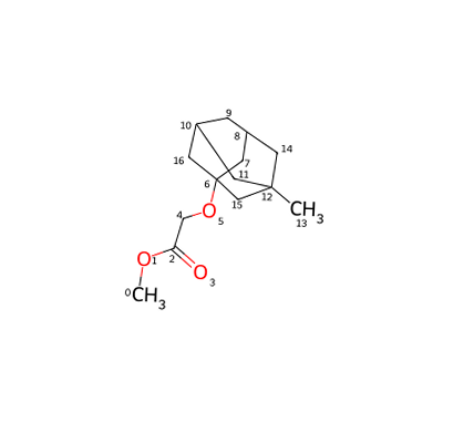 COC(=O)COC12CC3CC(CC(C)(C3)C1)C2